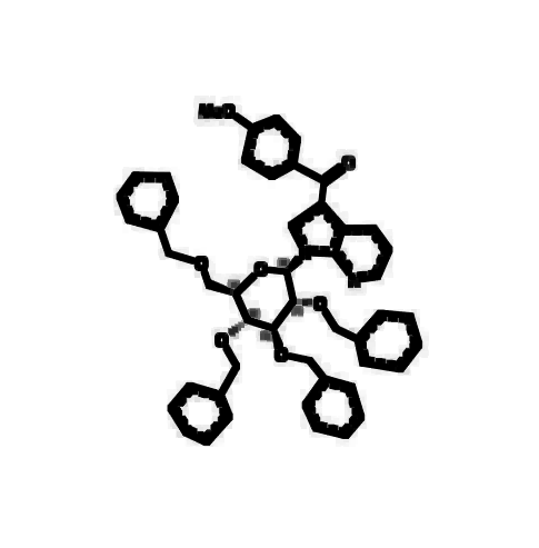 COc1ccc(C(=O)c2cn([C@@H]3O[C@H](COCc4ccccc4)[C@@H](OCc4ccccc4)[C@H](OCc4ccccc4)[C@H]3OCc3ccccc3)c3ncccc23)cc1